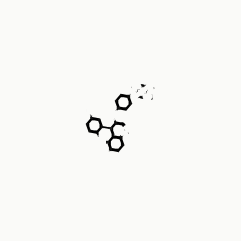 CN(C)S(=O)(=O)Nc1ccc(Sc2c(-c3cc(Cl)ccc3O)c3cc(C(F)(F)F)ccc3[nH]c2=O)cc1